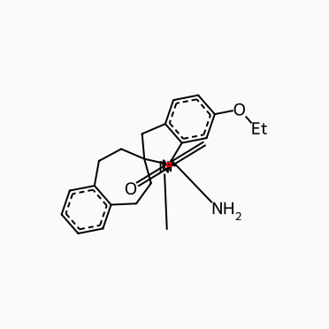 CCOc1ccc2c(c1)C1(N=C(N)N(C)C1=O)C1(CCc3ccccc3CC1)C2